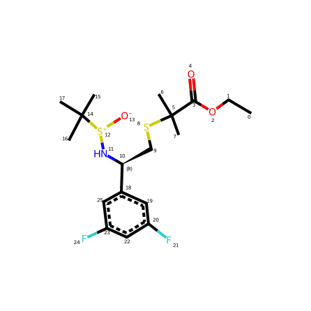 CCOC(=O)C(C)(C)SC[C@H](N[S+]([O-])C(C)(C)C)c1cc(F)cc(F)c1